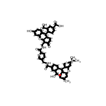 C=c1ccc2c(c1)Oc1cc(N(C)C)ccc1C=2c1ccc(C(=O)NCc2ccc(C(=O)NCc3c4oc5cc(O)ccc5c(-c5ccc(C(=O)O)cc5C(=O)O)c-4ccc3=O)nc2)cc1C(=O)O